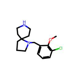 COc1c(Cl)cccc1CN1CCCC12CCNCC2